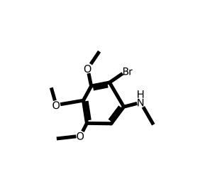 CNc1cc(OC)c(OC)c(OC)c1Br